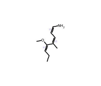 CC\C=C(OC)/C(C)=C\C=C/N